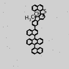 CC1(C)c2ccc(-c3ccc(-c4c5ccccc5c(-c5cccc6ccccc56)c5ccccc45)c4ccccc34)cc2-c2ccc3sc4ccc5ccccc5c4c3c21